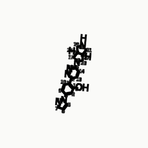 Oc1cc(-n2cccn2)ccc1-c1ccc(N2C[C@H]3CNC[C@H]3C2)nn1